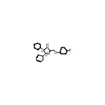 Fc1ccc(OCC2=N[C@@H](C3C=CC=CC3)[C@@H](c3ccccc3)N2)cc1